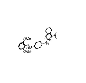 COc1cccc(OC)c1CN[C@H]1CC[C@@H](Nc2nc3c(c(N(C)C)n2)CCCC3)CC1